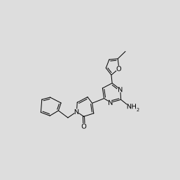 Cc1ccc(-c2cc(-c3ccn(Cc4ccccc4)c(=O)c3)nc(N)n2)o1